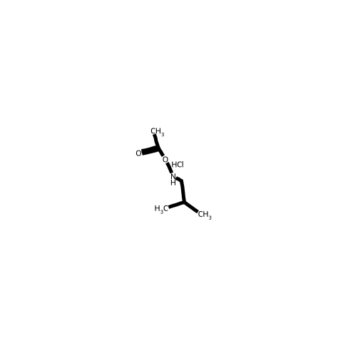 CC(=O)ONCC(C)C.Cl